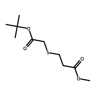 COC(=O)CCSCC(=O)OC(C)(C)C